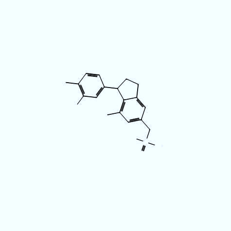 Cc1ccc(C2CCc3cc(CP(=O)(O)O)cc(C)c32)cc1C(C)C